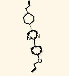 C=CCOc1ccc(-c2ncc([C@H]3CC[C@H](CC=C)CC3)cn2)cc1